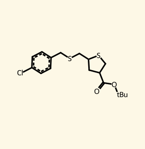 CC(C)(C)OC(=O)C1CSC(CSCc2ccc(Cl)cc2)C1